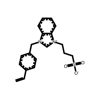 C=Cc1ccc(Cn2c[n+](CCCS(=O)(=O)[O-])c3ccccc32)cc1